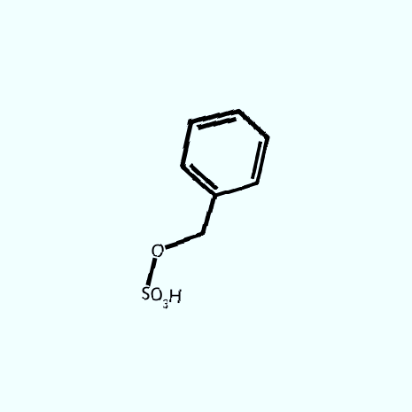 O=S(=O)(O)OCc1ccccc1